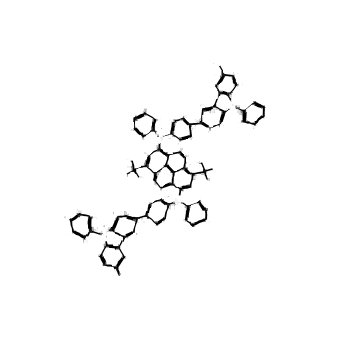 Cc1ccc2c(c1)c1cc(-c3ccc(N(c4ccccc4)c4cc(C(C)(C)C)c5ccc6c(N(c7ccccc7)c7ccc(-c8ccc9c(c8)c8cc(C)ccc8n9-c8ccccc8)cc7)cc(C(C)(C)C)c7ccc4c5c67)cc3)ccc1n2-c1ccccc1